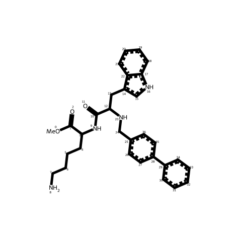 COC(=O)C(CCCCN)NC(=O)C(Cc1c[nH]c2ccccc12)NCc1ccc(-c2ccccc2)cc1